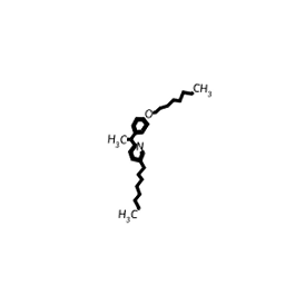 CCCCCCCCOc1ccc(C(C)c2ccc(CCCCCCCC)cn2)cc1